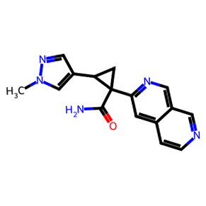 Cn1cc(C2CC2(C(N)=O)c2cc3ccncc3cn2)cn1